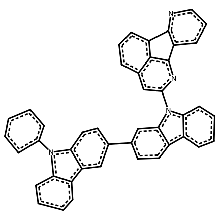 c1ccc(-n2c3ccccc3c3cc(-c4ccc5c6ccccc6n(-c6cc7cccc8c7c(n6)-c6cccnc6-8)c5c4)ccc32)cc1